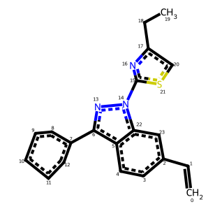 C=Cc1ccc2c(-c3ccccc3)nn(-c3nc(CC)cs3)c2c1